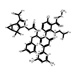 CSNC(=N)c1c(Cl)ccc(-n2c(C(Cc3cc(F)cc(F)c3)NC(=O)Cn3nc(C(F)F)c4c3C(F)(F)C3CC43)nc(-c3nc(C)cc(C)n3)cc2=O)c1NCC(F)F